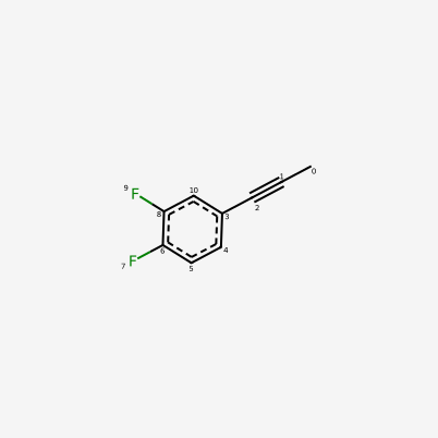 CC#Cc1ccc(F)c(F)c1